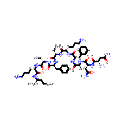 CC(C)C[C@H](NC(=O)[C@H](Cc1ccccc1)NC(=O)[C@H](CC(=O)O)NC(=O)[C@H](CCCCN)NC(=O)[C@H](Cc1ccccc1)NC(=O)[C@@H](NC(=O)[C@H](CC(N)=O)NC(=O)[C@@H](N)CC(N)=O)C(C)C)C(=O)N[C@@H](CCCCN)C(=O)N[C@@H](CCC(=O)O)C(=O)O